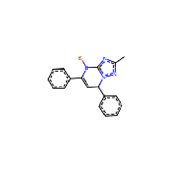 Cc1nc2n(n1)C(c1ccccc1)C=C(c1ccccc1)N2S